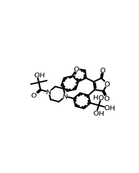 CC(C)(O)C(=O)N1CCN(c2ccc(C(O)(O)O)c(C3=C(c4coc5ccccc45)C(=O)OC3=O)c2)CC1